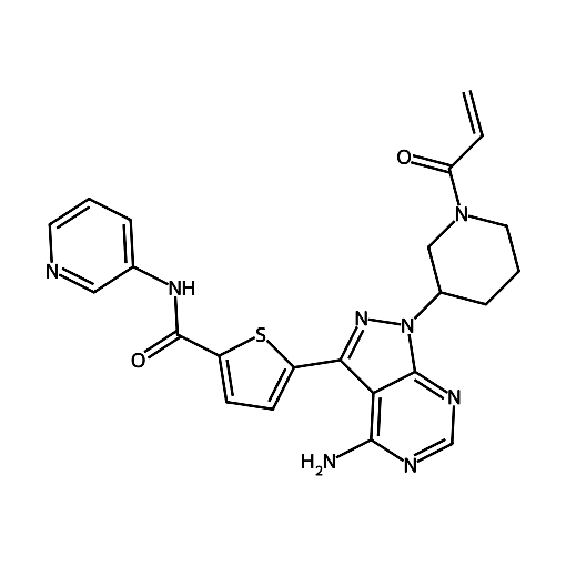 C=CC(=O)N1CCCC(n2nc(-c3ccc(C(=O)Nc4cccnc4)s3)c3c(N)ncnc32)C1